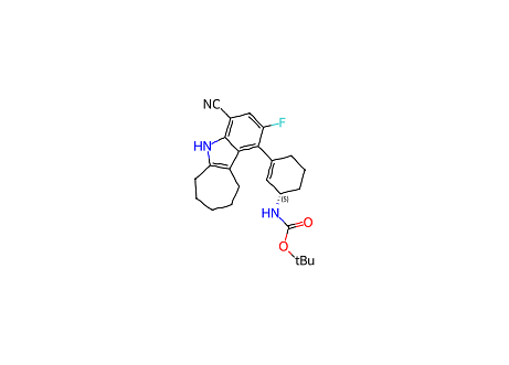 CC(C)(C)OC(=O)N[C@@H]1C=C(c2c(F)cc(C#N)c3[nH]c4c(c23)CCCCC4)CCC1